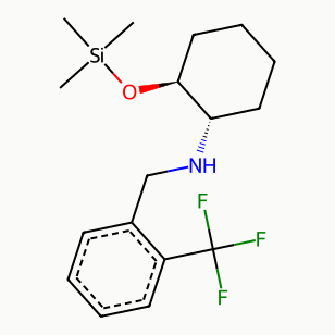 C[Si](C)(C)O[C@H]1CCCC[C@@H]1NCc1ccccc1C(F)(F)F